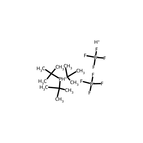 CC(C)(C)[PH+](C(C)(C)C)C(C)(C)C.F[B-](F)(F)F.F[B-](F)(F)F.[H+]